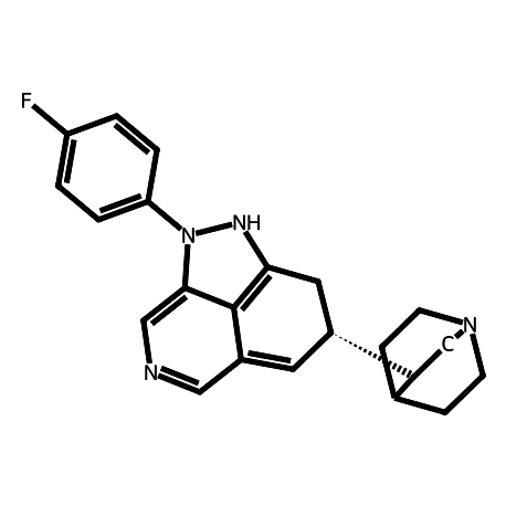 Fc1ccc(N2NC3=c4c2cncc4=C[C@@H](C2CN4CCC2CC4)C3)cc1